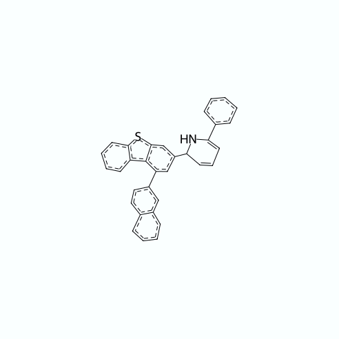 C1=CC(c2cc(-c3ccc4ccccc4c3)c3c(c2)sc2ccccc23)NC(c2ccccc2)=C1